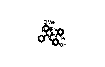 COc1ccc(C(C2CCCCC2)N(Cc2ccc(O)cc2)C(=O)Nc2c(C(C)C)cccc2C(C)C)nc1